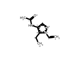 C=Cn1ncc(NC(C)=O)c1CC